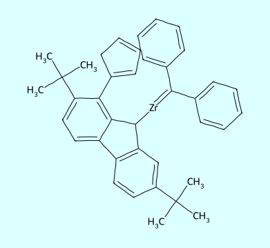 CC(C)(C)c1ccc2c(c1)[CH]([Zr]=[C](c1ccccc1)c1ccccc1)c1c-2ccc(C(C)(C)C)c1C1=CC=CC1